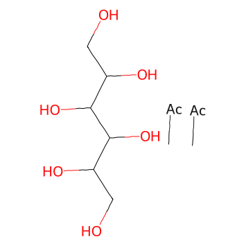 CC(C)=O.CC(C)=O.OCC(O)C(O)C(O)C(O)CO